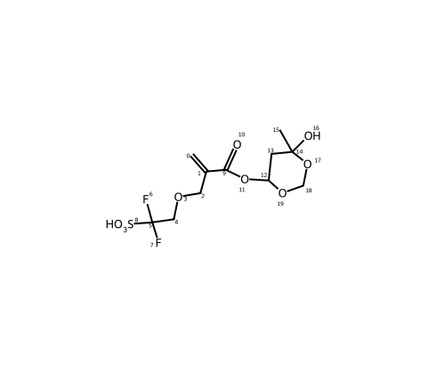 C=C(COCC(F)(F)S(=O)(=O)O)C(=O)OC1CC(C)(O)OCO1